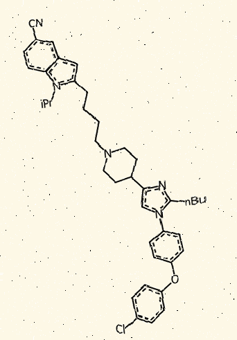 CCCCc1nc(C2CCN(CCCCc3cc4cc(C#N)ccc4n3C(C)C)CC2)cn1-c1ccc(Oc2ccc(Cl)cc2)cc1